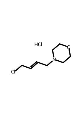 Cl.ClCC=CCN1CCOCC1